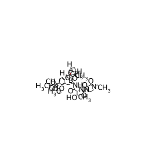 CCN1CCN(C(=O)N[C@@H](C(=O)N[C@@H](Cc2cccc(C(=O)OC(C)(C)C)c2OC)B2OC3C[C@@H]4C[C@@H](C4(C)C)[C@]3(C)O2)[C@@H](C)O)C(=O)C1=O